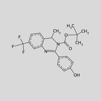 CC1c2ccc(C(F)(F)F)cc2N=C(c2ccc(O)cc2)N1C(=O)OC(C)(C)C